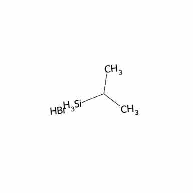 Br.CC(C)[SiH3]